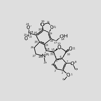 COc1ccc2c(c1OC)C(=O)O[C@@H]2[C@H]1c2c(CO)c3c(c([N+](=O)[O-])c2CCN1C)OCO3